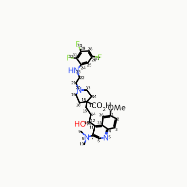 COc1ccc2ncc(N(C)C)c([C@H](O)CCC3(C(=O)O)CCN(CCNc4cc(F)cc(F)c4F)CC3)c2c1